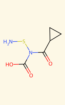 NSN(C(=O)O)C(=O)C1CC1